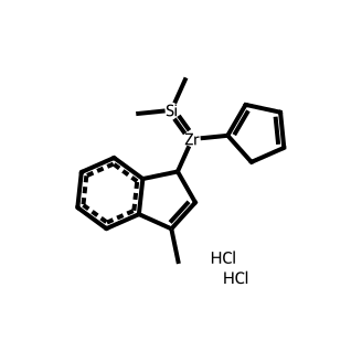 CC1=C[CH]([Zr]([C]2=CC=CC2)=[Si](C)C)c2ccccc21.Cl.Cl